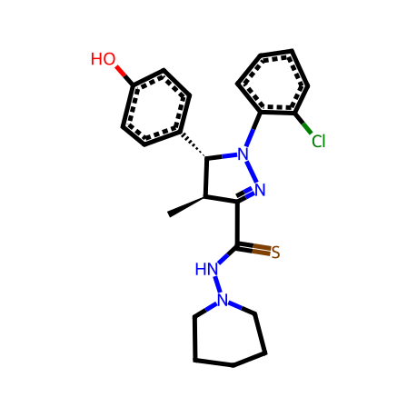 C[C@@H]1C(C(=S)NN2CCCCC2)=NN(c2ccccc2Cl)[C@H]1c1ccc(O)cc1